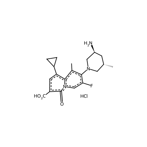 Cc1c(N2C[C@@H](C)C[C@H](N)C2)c(F)cn2c(=O)c(C(=O)O)cc(C3CC3)c12.Cl